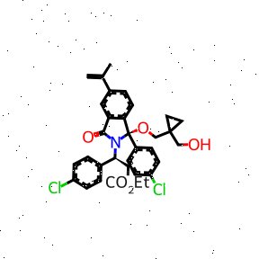 C=C(C)c1ccc2c(c1)C(=O)N([C@@H](CC(=O)OCC)c1ccc(Cl)cc1)[C@@]2(OCC1(CO)CC1)c1ccc(Cl)cc1